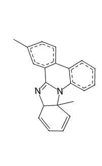 Cc1ccc2c(c1)C1=NC3C=CC=CC3(C)N1c1ccccc1-2